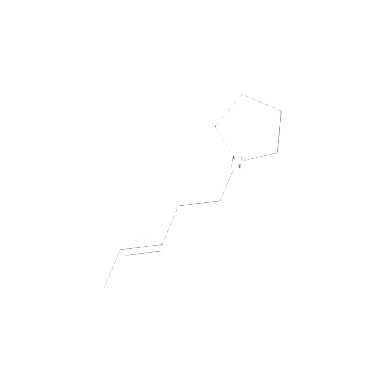 C/C=C/CCN1CCCC1